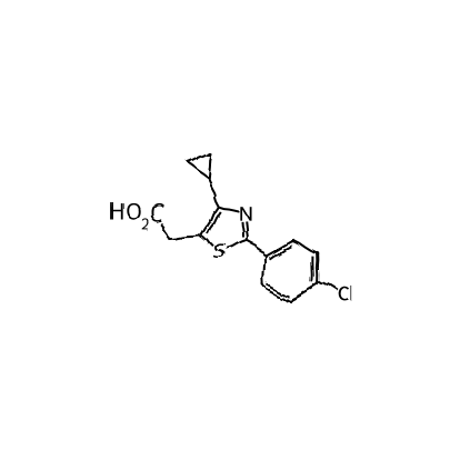 O=C(O)Cc1sc(-c2ccc(Cl)cc2)nc1C1CC1